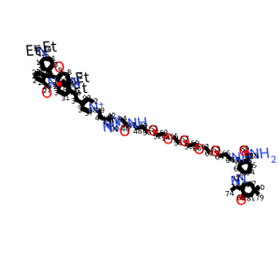 CCN(CC)c1ccc2c(c1)Oc1cc(N(CC)CC)ccc1C21c2ccccc2C(=O)N1c1ccc(CCc2cc[n+](CCc3cn(CC(=O)NCCCOCCOCCOCCOCCOCCCNc4cc(-n5nc(C)c6c5CC(C)(C)CC6=O)ccc4C(N)=O)nn3)cc2)cc1